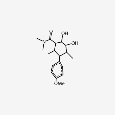 COc1ccc([C]2C(C)C(O)C(O)C(C(=O)N(C)C)C2C)cc1